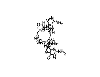 CO[C@H]1[C@H]2O[P@](O)(=S)OC[C@]34CO[C@@H]([C@H](n5cnc6c(N)ncnc65)O3)[C@@H]4OS(=O)(=O)NC[C@H]1O[C@H]2n1cnc2c(=O)[nH]c(N)nc21